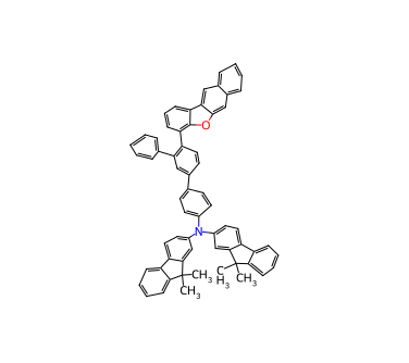 CC1(C)c2ccccc2-c2ccc(N(c3ccc(-c4ccc(-c5cccc6c5oc5cc7ccccc7cc56)c(-c5ccccc5)c4)cc3)c3ccc4c(c3)C(C)(C)c3ccccc3-4)cc21